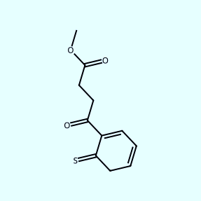 COC(=O)CCC(=O)C1=CC=CCC1=S